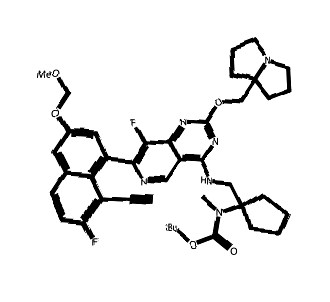 C#Cc1c(F)ccc2cc(OCOC)cc(-c3ncc4c(NCC5(N(C)C(=O)OC(C)(C)C)CCCC5)nc(OCC56CCCN5CCC6)nc4c3F)c12